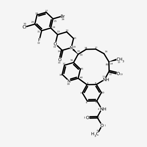 COC(=O)Nc1ccc2c(c1)NC(=O)[C@H](C)CCC[C@H](N1CCC(c3c(Br)ccc(Cl)c3F)OC1=O)c1ccnc-2c1